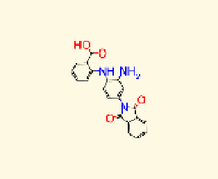 Nc1cc(N2C(=O)c3ccccc3C2=O)ccc1Nc1ccccc1C(=O)O